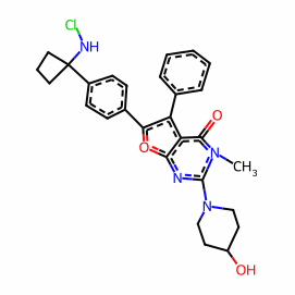 Cn1c(N2CCC(O)CC2)nc2oc(-c3ccc(C4(NCl)CCC4)cc3)c(-c3ccccc3)c2c1=O